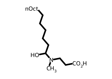 CCCCCCCCCCCCCC(O)N(C)CCC(=O)O